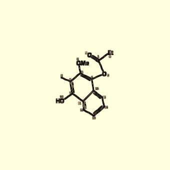 CCC(=O)Oc1c(OC)c(C)c(O)c2ccccc12